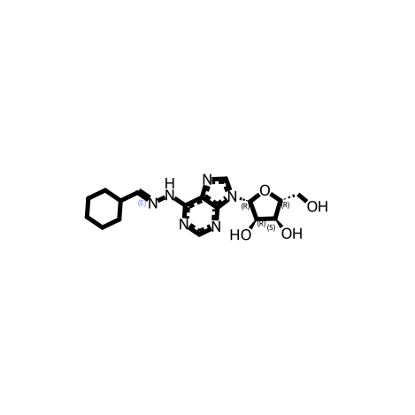 OC[C@H]1O[C@@H](n2cnc3c(N/N=C/C4CCCCC4)ncnc32)[C@H](O)[C@@H]1O